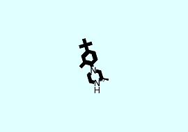 Cc1cc(C(C)(C)C)ccc1N1CCN[C@H](C)C1